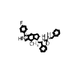 C[C@H]1C2=CNN(c3ccc(F)cc3)C2=CC2=C1[C@@H](CC(NC(=O)NCc1ccccc1)c1ccccc1)CC2